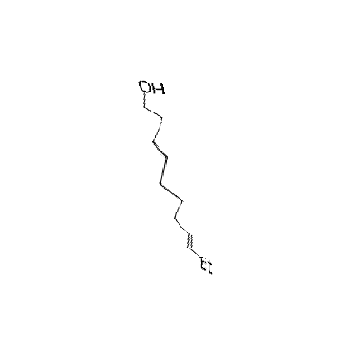 CCC=CCCCCCCCO